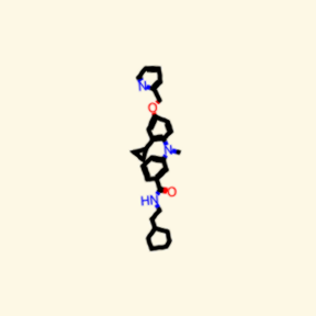 CN(c1cccc(C(=O)NCCC2CCCCC2)c1)c1ccc(OCc2ccccn2)cc1C1CC1